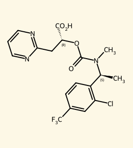 C[C@@H](c1ccc(C(F)(F)F)cc1Cl)N(C)C(=O)O[C@H](Cc1ncccn1)C(=O)O